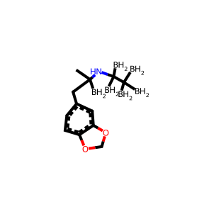 BC(C)(Cc1ccc2c(c1)OCO2)NC(B)(B)C(B)(B)B